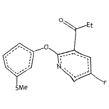 CCC(=O)c1cc(F)cnc1Oc1cccc(SC)c1